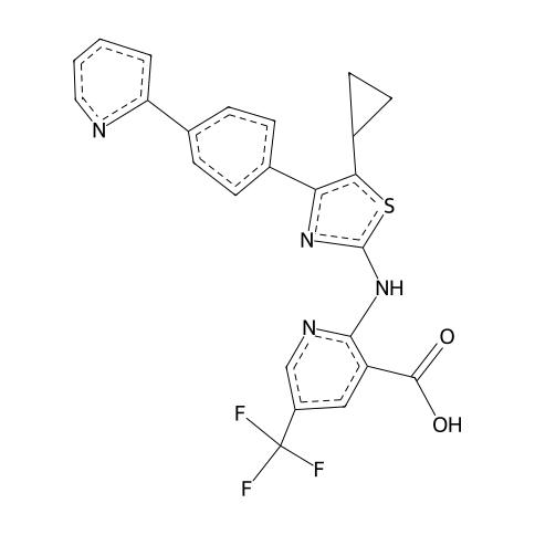 O=C(O)c1cc(C(F)(F)F)cnc1Nc1nc(-c2ccc(-c3ccccn3)cc2)c(C2CC2)s1